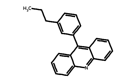 CCCc1cccc(-c2c3ccccc3nc3ccccc23)c1